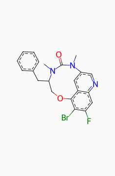 CN1C(=O)N(C)C(Cc2ccccc2)COc2c(Br)c(F)cc3ncc1cc23